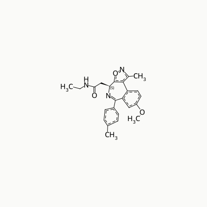 CCNC(=O)C[C@@H]1N=C(c2ccc(C)cc2)c2cc(OC)ccc2-c2c(C)noc21